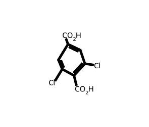 O=C(O)c1cc(Cl)c(C(=O)O)c(Cl)c1